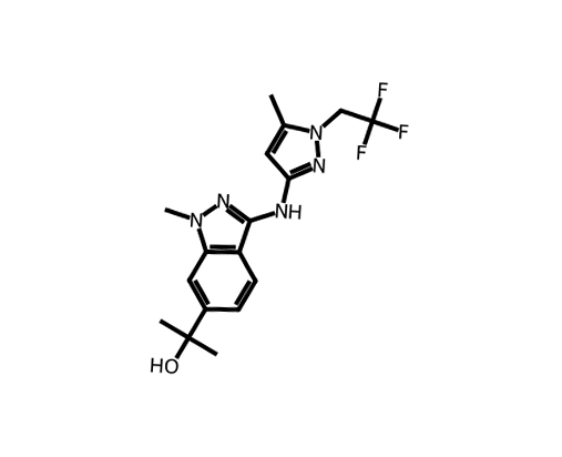 Cc1cc(Nc2nn(C)c3cc(C(C)(C)O)ccc23)nn1CC(F)(F)F